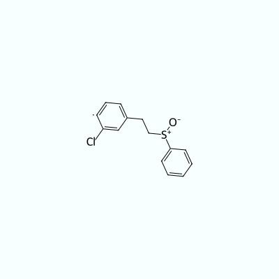 [O-][S+](CCc1cc[c]c(Cl)c1)c1ccccc1